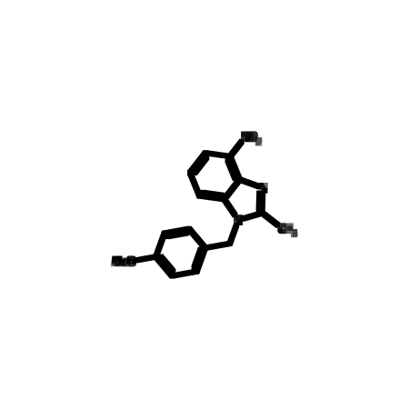 COc1ccc(Cn2c(C)nc3c([N+](=O)[O-])cccc32)cc1